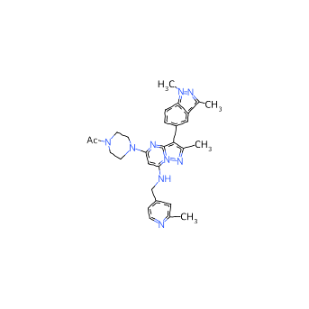 CC(=O)N1CCN(c2cc(NCc3ccnc(C)c3)n3nc(C)c(-c4ccc5c(c4)c(C)nn5C)c3n2)CC1